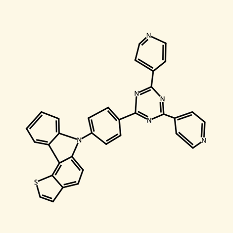 c1ccc2c(c1)c1c3sccc3ccc1n2-c1ccc(-c2nc(-c3ccncc3)nc(-c3ccncc3)n2)cc1